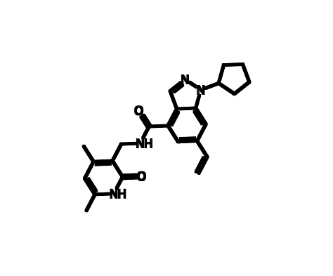 C=Cc1cc(C(=O)NCc2c(C)cc(C)[nH]c2=O)c2cnn(C3CCCC3)c2c1